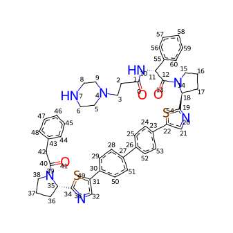 O=C(CCN1CCNCC1)N[C@@H](C(=O)N1CCC[C@H]1c1ncc(-c2ccc(-c3ccc(-c4cnc([C@@H]5CCCN5C(=O)Cc5ccccc5)s4)cc3)cc2)s1)c1ccccc1